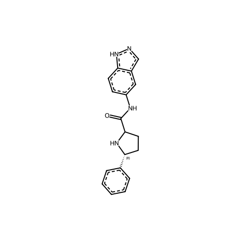 O=C(Nc1ccc2[nH]ncc2c1)C1CC[C@H](c2ccccc2)N1